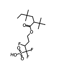 CCC(C)(C)CC(C(=O)OCCC(F)C(F)(F)S(=O)(=O)O)C(C)(C)C